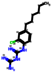 CCCCCCc1ccc(NC(=N)NC(=N)N)c(Cl)c1